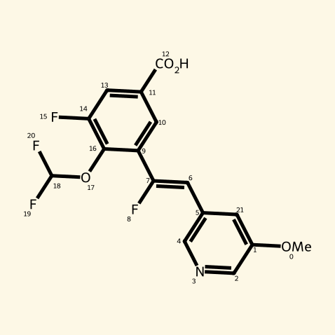 COc1cncc(/C=C(\F)c2cc(C(=O)O)cc(F)c2OC(F)F)c1